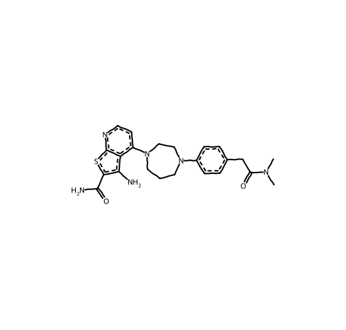 CN(C)C(=O)Cc1ccc(N2CCCN(c3ccnc4sc(C(N)=O)c(N)c34)CC2)cc1